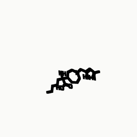 CCCCCC(N)(C(=O)O)C1CCCN(Cc2cc(C)n[nH]2)CC1